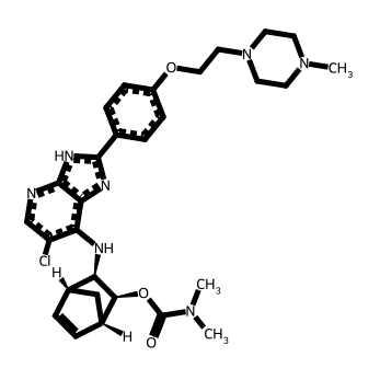 CN1CCN(CCOc2ccc(-c3nc4c(N[C@H]5[C@@H](OC(=O)N(C)C)[C@@H]6C=C[C@H]5C6)c(Cl)cnc4[nH]3)cc2)CC1